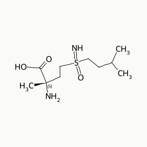 CC(C)CCS(=N)(=O)CC[C@](C)(N)C(=O)O